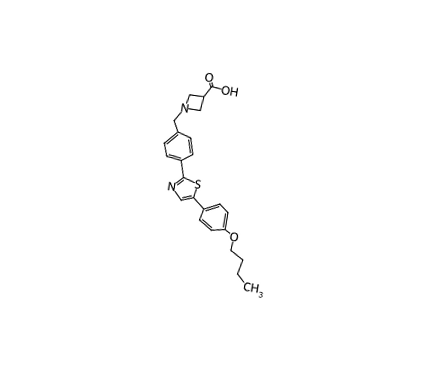 CCCCOc1ccc(-c2cnc(-c3ccc(CN4CC(C(=O)O)C4)cc3)s2)cc1